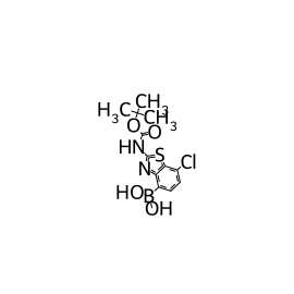 CC(C)(C)OC(=O)Nc1nc2c(B(O)O)ccc(Cl)c2s1